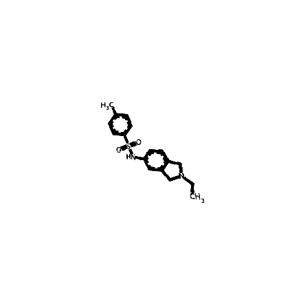 CCN1Cc2ccc(NS(=O)(=O)c3ccc(C)cc3)cc2C1